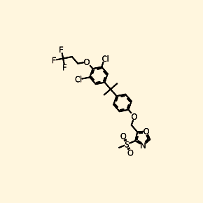 CC(C)(c1ccc(OCc2ocnc2S(C)(=O)=O)cc1)c1cc(Cl)c(OCCC(F)(F)F)c(Cl)c1